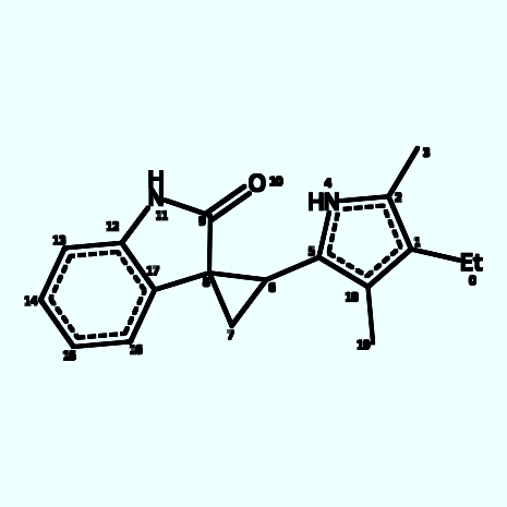 CCc1c(C)[nH]c(C2CC23C(=O)Nc2ccccc23)c1C